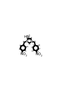 Br.O=[N+]([O-])c1ccc(CN2C=CN(Cc3ccc([N+](=O)[O-])cc3)C2)cc1